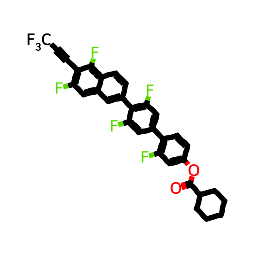 O=C(Oc1ccc(-c2cc(F)c(-c3ccc4c(F)c(C#CC(F)(F)F)c(F)cc4c3)c(F)c2)c(F)c1)C1CCCCC1